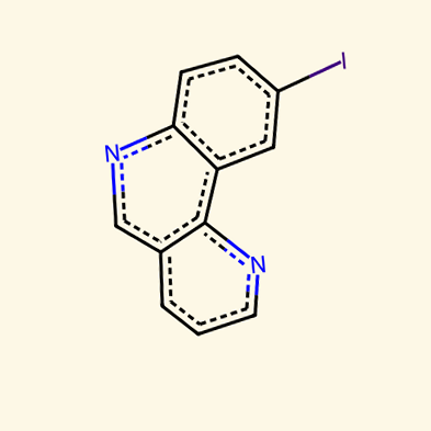 Ic1ccc2ncc3cccnc3c2c1